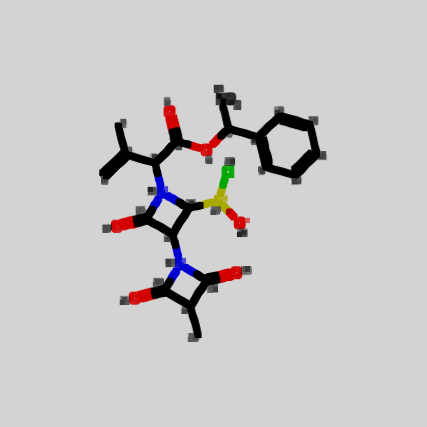 C=C(C)C(C(=O)OC(c1ccccc1)[N+](=O)[O-])N1C(=O)C(N2C(=O)C(C)C2=O)C1[S+]([O-])Cl